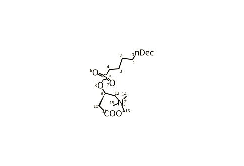 CCCCCCCCCCCCCCS(=O)(=O)O[C@H](CC(=O)[O-])C[N+](C)(C)C